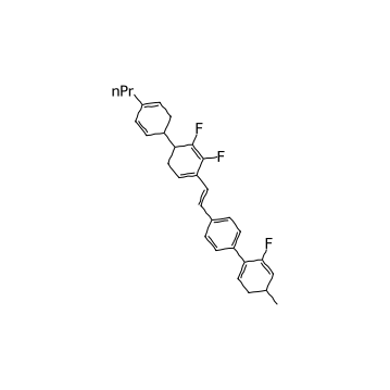 CCCC1=CCC(C2CC=C(/C=C/c3ccc(C4=CCC(C)C=C4F)cc3)C(F)=C2F)C=C1